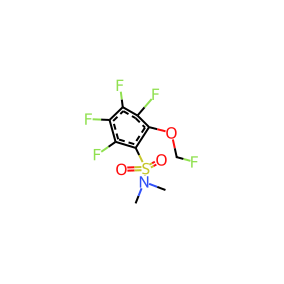 CN(C)S(=O)(=O)c1c(F)c(F)c(F)c(F)c1OCF